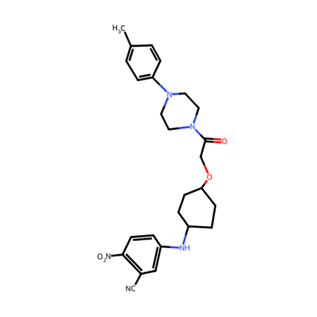 Cc1ccc(N2CCN(C(=O)COC3CCC(Nc4ccc([N+](=O)[O-])c(C#N)c4)CC3)CC2)cc1